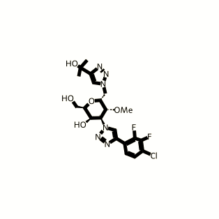 CO[C@@H]1[C@@H](n2cc(-c3ccc(Cl)c(F)c3F)nn2)[C@@H](O)[C@@H](CO)O[C@@H]1Cn1cc(C(C)(C)O)nn1